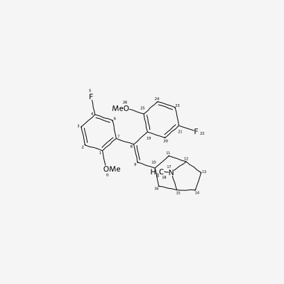 COc1ccc(F)cc1C(=CC1CC2CCC(C1)N2C)c1cc(F)ccc1OC